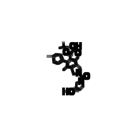 Cc1ccc(-c2c(C)c3c(c(C)c2[C@H](OC(C)(C)C)C(=O)O)CN(C(=O)N2CC[C@H](O)C2)C3)cc1